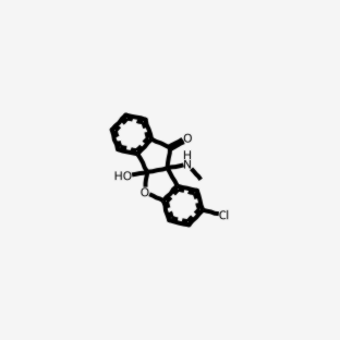 CNC12C(=O)c3ccccc3C1(O)Oc1ccc(Cl)cc12